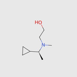 C[C@@H](C1CC1)N(C)CCO